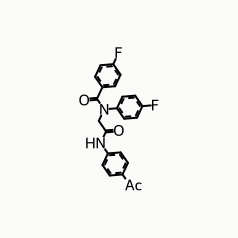 CC(=O)c1ccc(NC(=O)CN(C(=O)c2ccc(F)cc2)c2ccc(F)cc2)cc1